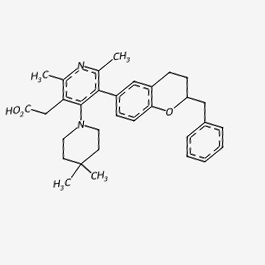 Cc1nc(C)c(-c2ccc3c(c2)CCC(Cc2ccccc2)O3)c(N2CCC(C)(C)CC2)c1CC(=O)O